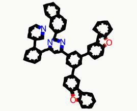 c1cncc(-c2ccccc2-c2cc(-c3cc(-c4ccc5oc6ccccc6c5c4)cc(-c4ccc5oc6ccccc6c5c4)c3)nc(-c3ccc4ccccc4c3)n2)c1